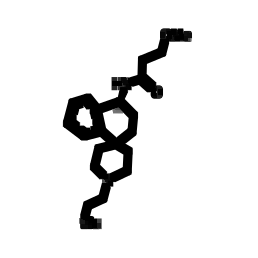 COCCC(=O)N[C@H]1CCC2(CCN(CCC(C)(C)C)CC2)c2ccccc21